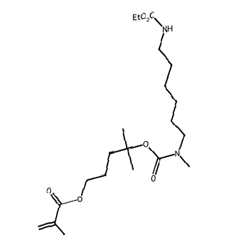 C=C(C)C(=O)OCCCC(C)(C)OC(=O)N(C)CCCCCCNC(=O)OCC